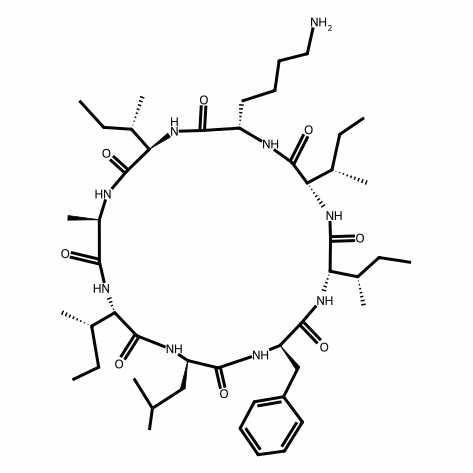 CC[C@H](C)[C@@H]1NC(=O)[C@H]([C@@H](C)CC)NC(=O)[C@@H](Cc2ccccc2)NC(=O)[C@@H](CC(C)C)NC(=O)[C@H]([C@@H](C)CC)NC(=O)[C@@H](C)NC(=O)[C@@H]([C@@H](C)CC)NC(=O)[C@H](CCCCN)NC1=O